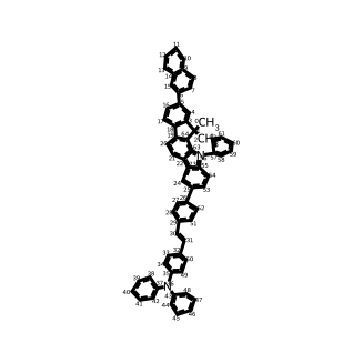 CC1(C)c2cc(-c3ccc4ccccc4c3)ccc2-c2ccc3c4cc(-c5ccc(/C=C/c6ccc(N(c7ccccc7)c7ccccc7)cc6)cc5)ccc4n(-c4ccccc4)c3c21